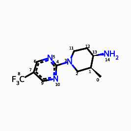 C[C@H]1CN(c2ncc(C(F)(F)F)cn2)CC[C@H]1N